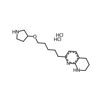 Cl.Cl.c1cc2c(nc1CCCCCOC1CCNC1)NCCC2